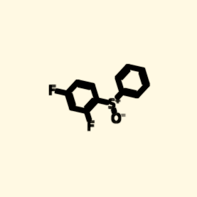 [O-][S+](c1ccccc1)c1ccc(F)cc1F